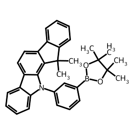 CC1(C)c2ccccc2-c2ccc3c4ccccc4n(-c4cccc(B5OC(C)(C)C(C)(C)O5)c4)c3c21